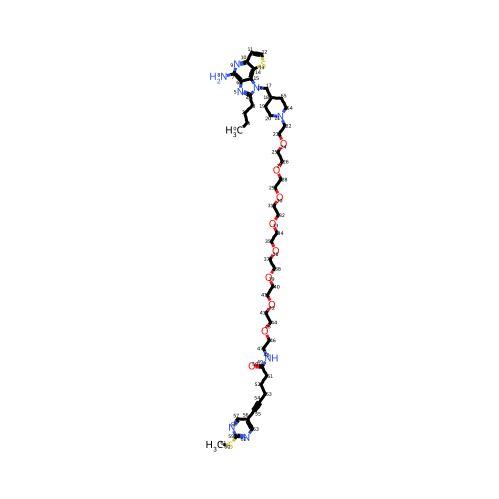 CCCCc1nc2c(N)nc3ccsc3c2n1CC1CCN(CCOCCOCCOCCOCCOCCOCCOCCOCCNC(=O)CCCC#Cc2cnc(SC)nc2)CC1